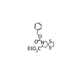 CCOC(=O)[C@@H]1CC2(CN1C(=O)OCc1ccccc1)SCCS2